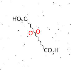 O=C(O)CCCCCCCC(=O)C(=O)CCCCCC(=O)O